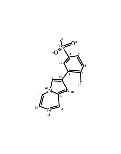 CS(=O)(=O)c1ccc(F)c(-c2cn3ccncc3n2)c1